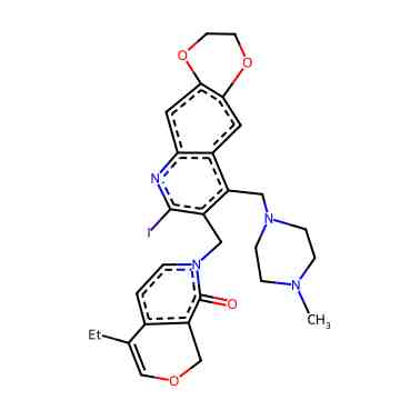 CCC1=COCc2c1ccn(Cc1c(I)nc3cc4c(cc3c1CN1CCN(C)CC1)OCCO4)c2=O